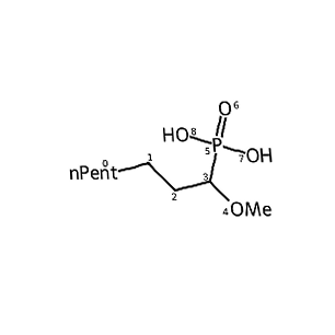 CCCCCCCC(OC)P(=O)(O)O